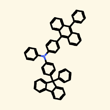 c1ccc(-c2c3ccccc3c(-c3ccc(N(c4ccccc4)c4ccc(C5(c6ccccc6)c6ccccc6-c6ccccc65)cc4)cc3)c3ccccc23)cc1